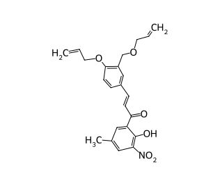 C=CCOCc1cc(C=CC(=O)c2cc(C)cc([N+](=O)[O-])c2O)ccc1OCC=C